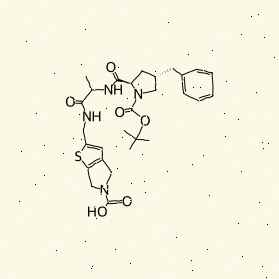 CC(NC(=O)[C@H]1C[C@H](Cc2ccccc2)CN1C(=O)OC(C)(C)C)C(=O)NCc1cc2c(s1)CN(C(=O)O)C2